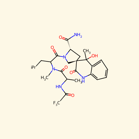 CC(C)CC(C(=O)N1C[C@]2(C[C@H]1C(N)=O)C(=O)Nc1ccccc1C2(C)O)N(C)C(=O)C(C)NC(=O)C(F)(F)F